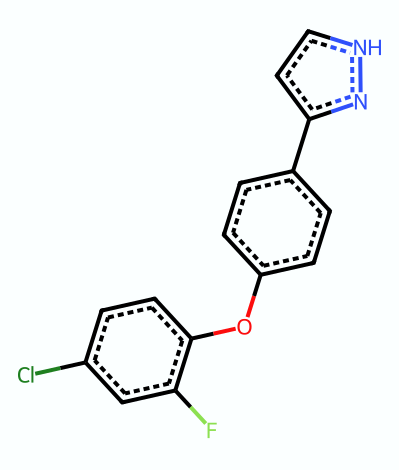 Fc1cc(Cl)ccc1Oc1ccc(-c2cc[nH]n2)cc1